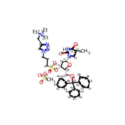 CC[N+](CC)(CC)Cc1cn(CCCS(=O)(=O)O[C@@H]2C[C@H](n3cc(C)c(=O)[nH]c3=O)O[C@@H]2COC(c2ccccc2)(c2ccccc2)c2ccccc2)nn1.CS(=O)(=O)[O-]